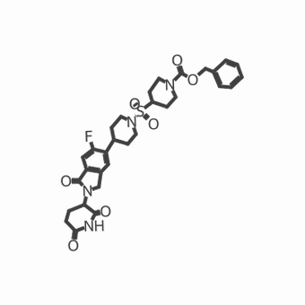 O=C1CCC(N2Cc3cc(C4CCN(S(=O)(=O)C5CCN(C(=O)OCc6ccccc6)CC5)CC4)c(F)cc3C2=O)C(=O)N1